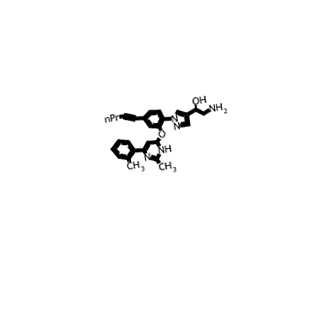 CCCC#Cc1ccc(-n2cc([C@@H](O)CN)cn2)c(OC2C=C(c3ccccc3C)N=C(C)N2)c1